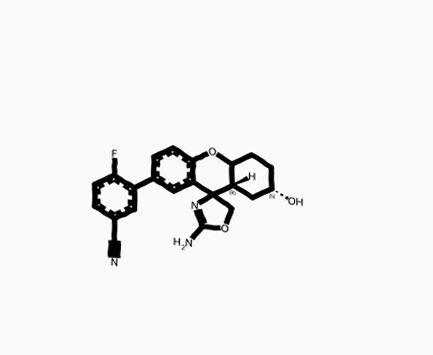 N#Cc1ccc(F)c(-c2ccc3c(c2)C2(COC(N)=N2)[C@H]2C[C@@H](O)CCC2O3)c1